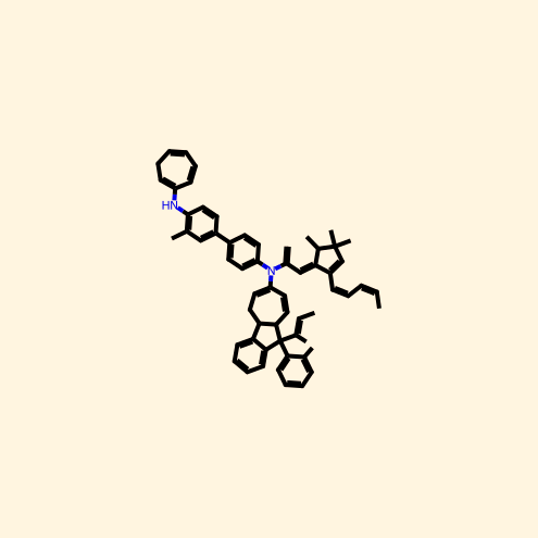 C=C(/C=C1/C(/C=C\C=C/C)=CC(C)(C)C1C)N(C1=CCC2c3ccccc3C(/C(C)=C/C)(c3ccccc3C)C2C=C1)c1ccc(-c2ccc(NC3=CCC=CC=C3)c(C)c2)cc1